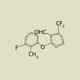 Cc1c(F)cccc1Oc1cccc(C(F)(F)F)c1C=O